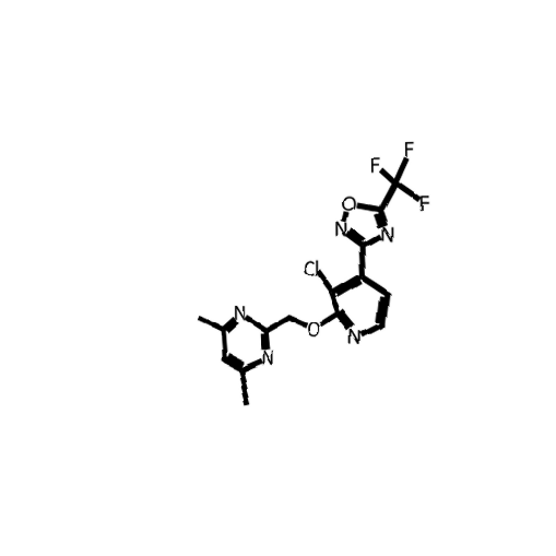 Cc1cc(C)nc(COc2nccc(-c3noc(C(F)(F)F)n3)c2Cl)n1